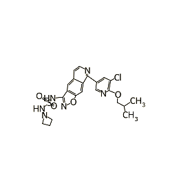 CC(C)COc1ncc(-c2nccc3cc4c(NS(=O)(=O)NN5CCC5)noc4cc23)cc1Cl